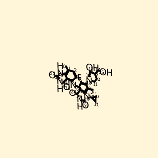 Cc1ccc(Nc2c(F)c(N3CCC(CO)C(O)C3)c(C)c3c2c(=O)[nH]c(=O)n3C2CC2)c2c(=O)[nH]c(=O)[nH]c12